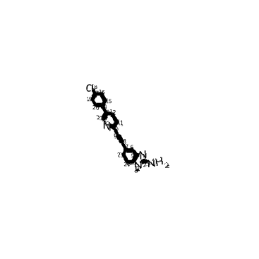 Cn1c(N)nc2cc(C#Cc3ccc(-c4ccc(Cl)cc4)cn3)ccc21